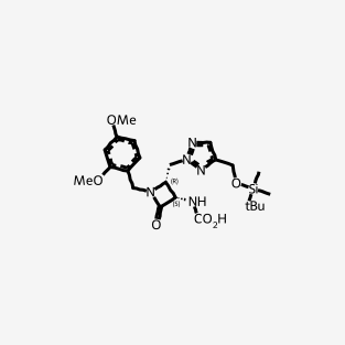 COc1ccc(CN2C(=O)[C@@H](NC(=O)O)[C@H]2Cn2ncc(CO[Si](C)(C)C(C)(C)C)n2)c(OC)c1